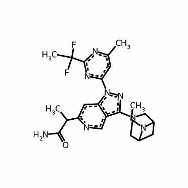 CCN1C2CC1CN(c1nn(-c3cc(C)nc(C(C)(F)F)n3)c3cc(C(C)C(N)=O)ncc13)C2